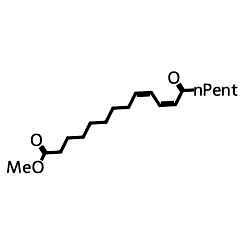 CCCCCC(=O)/C=C\C=C/CCCCCCCC(=O)OC